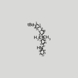 CC(C)(C)c1ccc(Cc2ccc(C(C)(C)c3ccc(CNc4ccccc4)cc3)cc2)cc1